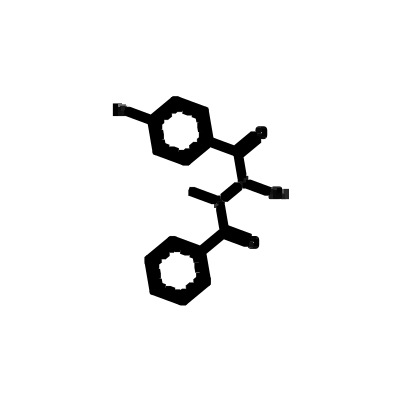 CCc1ccc(C(=O)N(N(C)C(=O)c2ccccc2)C(C)(C)C)cc1